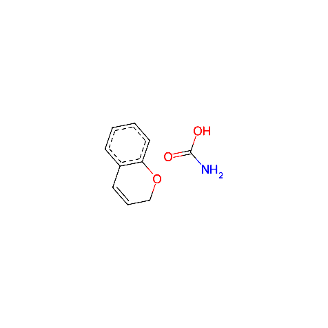 C1=Cc2ccccc2OC1.NC(=O)O